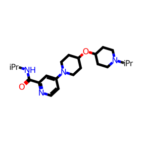 CC(C)NC(=O)c1cc(N2CCC(OC3CCN(C(C)C)CC3)CC2)ccn1